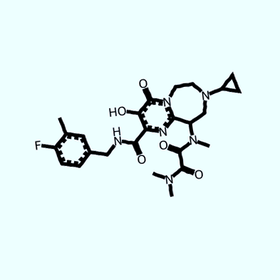 Cc1cc(CNC(=O)c2nc3n(c(=O)c2O)CCN(C2CC2)CC3N(C)C(=O)C(=O)N(C)C)ccc1F